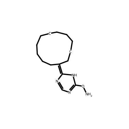 NOC1=NC=NC(=C2CCCCCCCCCCC2)N1